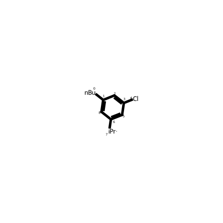 CCCCc1cc(Cl)cc([C](C)C)c1